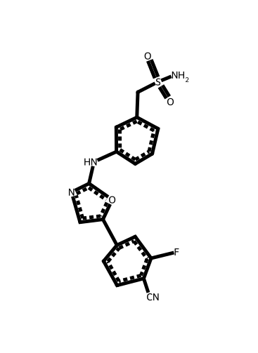 N#Cc1ccc(-c2cnc(Nc3cccc(CS(N)(=O)=O)c3)o2)cc1F